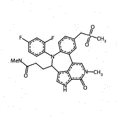 CNC(=O)CCC1c2c[nH]c3c(=O)n(C)cc(c23)-c2cc(CS(C)(=O)=O)ccc2N1c1ccc(F)cc1F